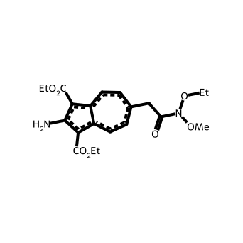 CCOC(=O)c1c2ccc(CC(=O)N(OC)OCC)ccc-2c(C(=O)OCC)c1N